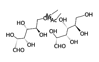 CC(C)=O.CC(C)=O.O=C[C@H](O)[C@@H](O)[C@H](O)[C@H](O)CO.O=C[C@H](O)[C@@H](O)[C@H](O)[C@H](O)CO